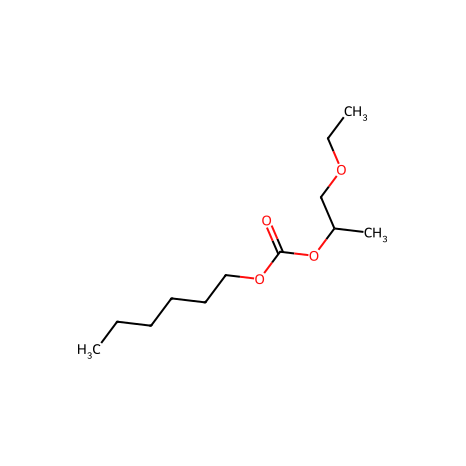 CCCCCCOC(=O)OC(C)COCC